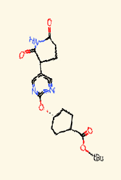 CC(C)(C)OC(=O)[C@H]1CC[C@H](Oc2ncc(C3CCC(=O)NC3=O)cn2)CC1